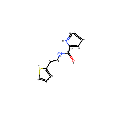 O=C(NCCc1cccs1)c1ccccn1